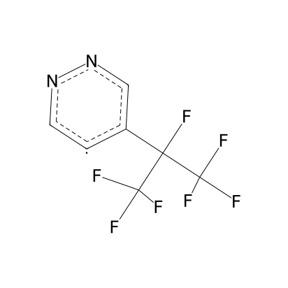 FC(F)(F)C(F)(c1[c]cnnc1)C(F)(F)F